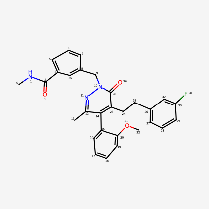 CNC(=O)c1cccc(Cn2nc(C)c(-c3ccccc3OC)c(CCc3cccc(F)c3)c2=O)c1